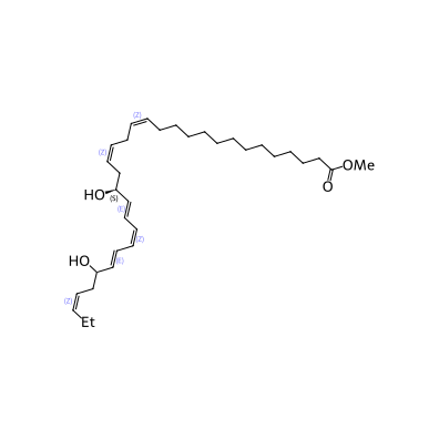 CC/C=C\CC(O)/C=C/C=C\C=C\[C@@H](O)C/C=C\C/C=C\CCCCCCCCCCCCC(=O)OC